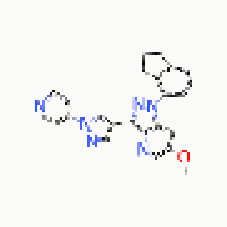 COc1cnc2c(-c3cnn(-c4ccncc4)c3)nn(-c3cccc4c3CCC4)c2c1